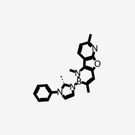 CC1=Cc2oc3nc(C)ccc3c2N(C)B1N1C=CN(c2ccccc2)[C@@H]1C